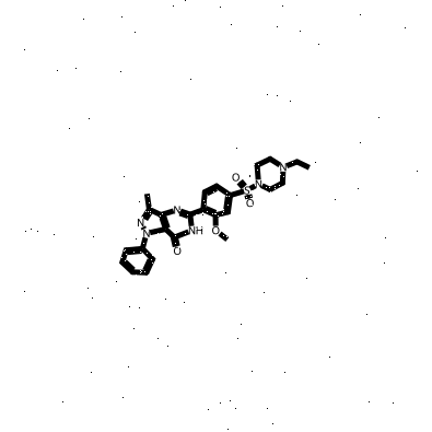 CCN1CCN(S(=O)(=O)c2ccc(-c3nc4c(C)nn(-c5ccccc5)c4c(=O)[nH]3)c(OC)c2)CC1